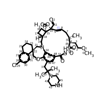 COCC[C@@H]1[C@@H](C)C/C=C/[C@@](C=O)(OC)[C@@H]2CC[C@H]2CN2C[C@@]3(CCCc4cc(Cl)ccc43)COc3c(CC(C)(C)N4CCNCC4)cc(cc32)C(=O)NS1(=O)=O